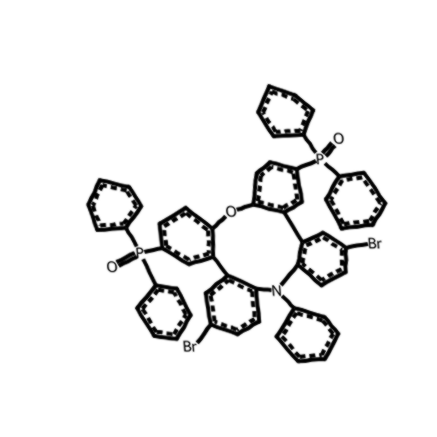 O=P(c1ccccc1)(c1ccccc1)c1ccc2c(c1)-c1cc(Br)ccc1N(c1ccccc1)c1ccc(Br)cc1-c1cc(P(=O)(c3ccccc3)c3ccccc3)ccc1O2